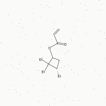 C=CC(=O)OC1C[C@H](CC)C1(CC)CC